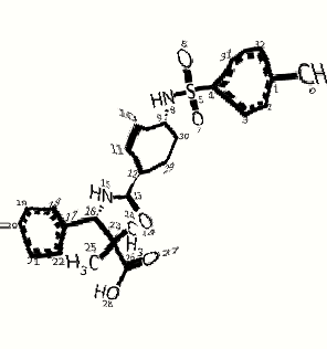 Cc1ccc(S(=O)(=O)N[C@H]2CC[C@H](C(=O)N[C@@H](c3ccccc3)C(C)(C)C(=O)O)CC2)cc1